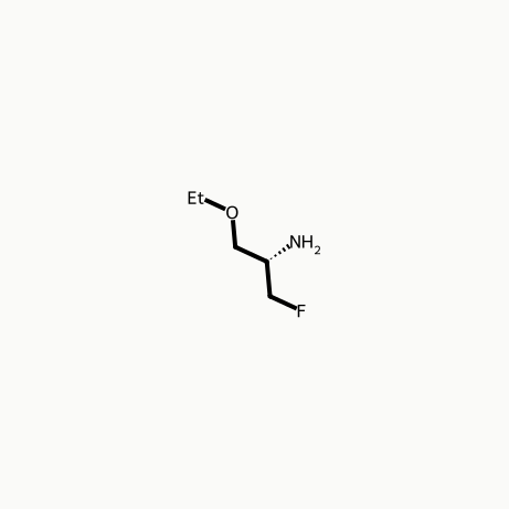 CCOC[C@H](N)CF